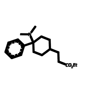 CCOC(=O)CCC1CCC(c2ccccc2)(N(C)C)CC1